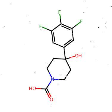 O=C(O)N1CCC(O)(c2cc(F)c(F)c(F)c2)CC1